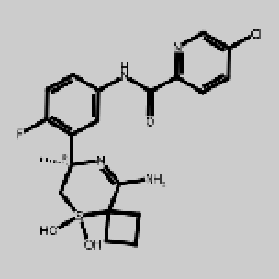 C[C@@]1(c2cc(NC(=O)c3ccc(Cl)cn3)ccc2F)CS(O)(O)C2(CCC2)C(N)=N1